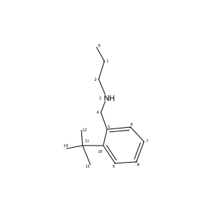 CCCNCc1ccccc1C(C)(C)C